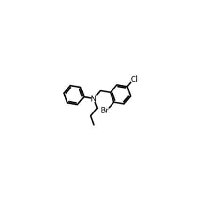 CCCN(Cc1cc(Cl)ccc1Br)c1ccccc1